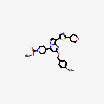 COc1ccc(COc2cc(C3CCN(C(=O)OC(C)(C)C)CC3)n3ncc(-c4cnc(C5CCOCC5)s4)c3n2)cc1